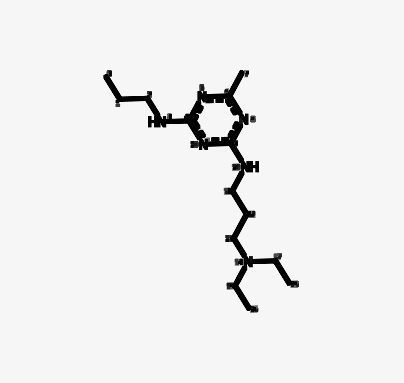 CCCNc1nc(C)nc(NCCCN(CC)CC)n1